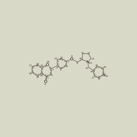 O=c1cc(-c2ccc(OCC3CCCN3Cc3ccncc3)cc2)oc2ccccc12